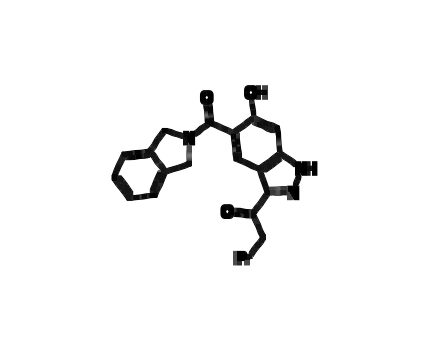 CC(C)CC(=O)c1n[nH]c2cc(O)c(C(=O)N3Cc4ccccc4C3)cc12